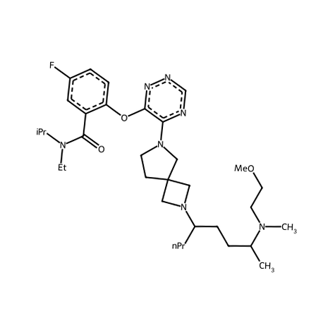 CCCC(CCC(C)N(C)CCOC)N1CC2(CCN(c3ncnnc3Oc3ccc(F)cc3C(=O)N(CC)C(C)C)C2)C1